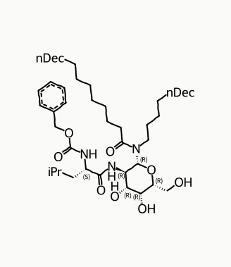 CCCCCCCCCCCCCCCCCC(=O)N(CCCCCCCCCCCCCC)[C@@H]1O[C@H](CO)[C@H](O)[C@H](O)[C@H]1NC(=O)[C@H](CC(C)C)NC(=O)OCc1ccccc1